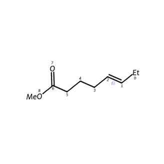 [CH2]C/C=C/CCCC(=O)OC